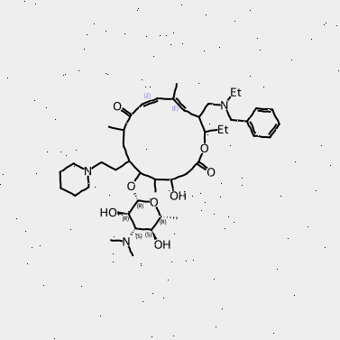 CCC1OC(=O)CC(O)C(C)C(O[C@@H]2O[C@H](C)[C@@H](O)[C@H](N(C)C)[C@H]2O)C(CCN2CCCCC2)CC(C)C(=O)/C=C\C(C)=C\C1CN(CC)Cc1ccccc1